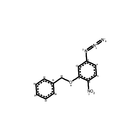 [N-]=[N+]=Nc1ccc([N+](=O)[O-])c(OCc2ccccc2)c1